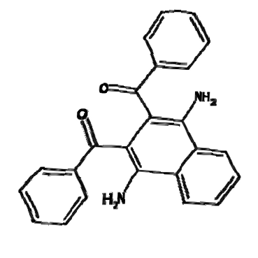 Nc1c(C(=O)c2ccccc2)c(C(=O)c2ccccc2)c(N)c2ccccc12